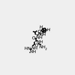 CNC(=N)NCCC[C@H](NC(=O)CN)C(=O)N[C@@H](CC(C)C)B1O[C@@H]2C[C@@H]3C[C@@H](C3(C)C)[C@]2(C)O1